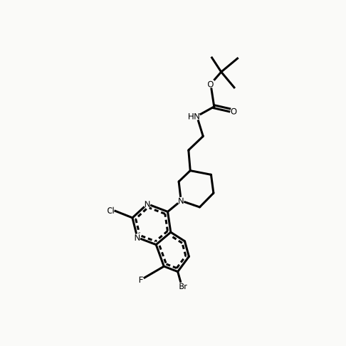 CC(C)(C)OC(=O)NCCC1CCCN(c2nc(Cl)nc3c(F)c(Br)ccc23)C1